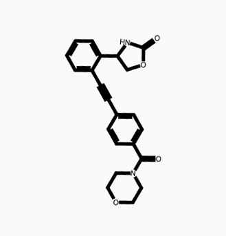 O=C1NC(c2ccccc2C#Cc2ccc(C(=O)N3CCOCC3)cc2)CO1